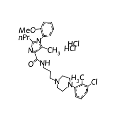 CCCc1nc(C(=O)NCCCN2CCN(c3cccc(Cl)c3C)CC2)c(C)n1-c1ccccc1OC.Cl.Cl